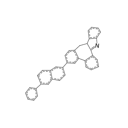 c1ccc(-c2ccc3cc(-c4ccc5c(c4)-c4ccccc4C4=Nc6ccccc6C4C5)ccc3c2)cc1